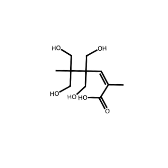 CC(=CC(CO)(CO)C(C)(CO)CO)C(=O)O